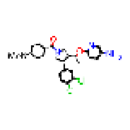 CN[C@H]1CC[C@H](C(=O)N2C[C@H]([C@H](C)Oc3ccc(N)cn3)[C@@H](c3ccc(Cl)c(Cl)c3)C2)CC1